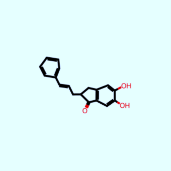 O=C1c2cc(O)c(O)cc2CC1C/C=C/c1ccccc1